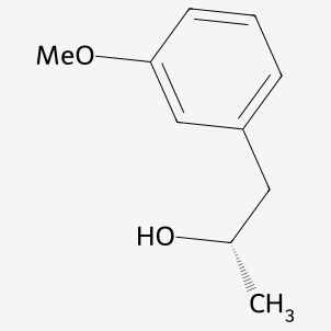 COc1cccc(C[C@H](C)O)c1